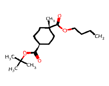 CCCCOC(=O)[C@]1(C)CC[C@@H](C(=O)OC(C)(C)C)CC1